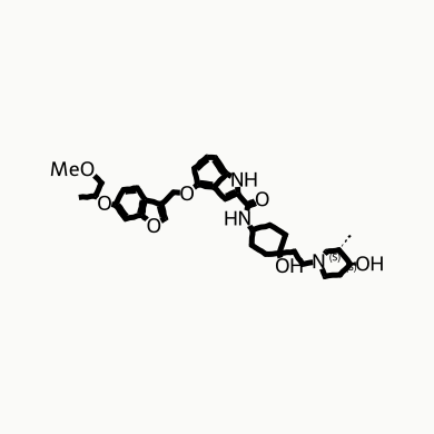 COCC(C)Oc1ccc2c(COc3cccc4[nH]c(C(=O)NC5CCC(O)(CCN6CC[C@H](O)[C@@H](C)C6)CC5)cc34)coc2c1